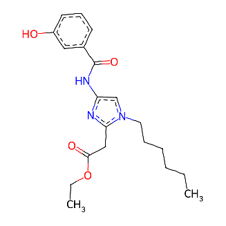 CCCCCCn1cc(NC(=O)c2cccc(O)c2)nc1CC(=O)OCC